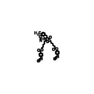 Cc1ccc(CC(NC(=O)CCCCCOC(=O)c2ccc(N=C=O)cc2)C(=O)OCCCCCC(=O)Oc2ccc(N=C=O)cc2)cc1OC#N